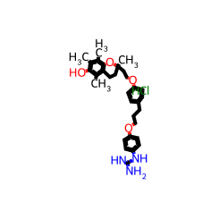 Cc1c(C)c2c(c(C)c1O)CCC(C)(CCOc1ccc(CCCOc3ccc(NC(=N)N)cc3)cc1)O2.Cl